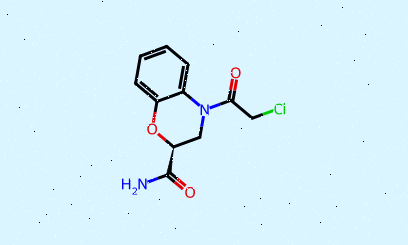 NC(=O)[C@@H]1CN(C(=O)CCl)c2ccccc2O1